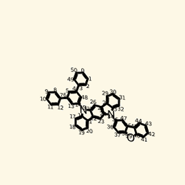 c1ccc(-c2cc(-c3ccccc3)cc(-n3c4ccccc4c4cc5c(cc43)c3ccccc3n5-c3ccc4oc5ccccc5c4c3)c2)cc1